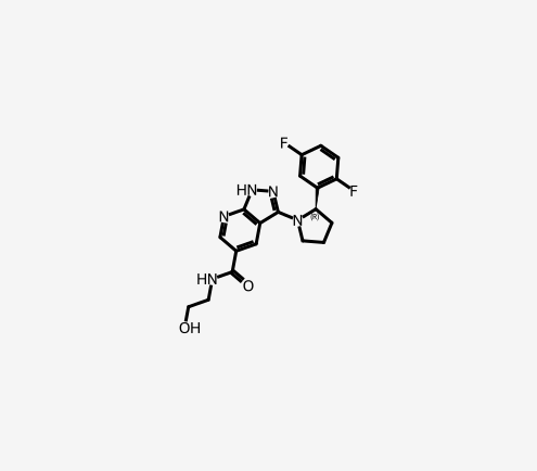 O=C(NCCO)c1cnc2[nH]nc(N3CCC[C@@H]3c3cc(F)ccc3F)c2c1